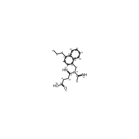 CCCc1ccc(CN(C(C)=N)C(=N)CCC(=O)O)c2ccccc12